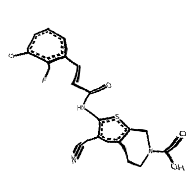 N#Cc1c(NC(=O)C=Cc2cccc(Cl)c2F)sc2c1CCN(C(=O)O)C2